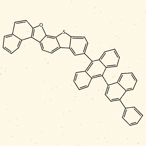 c1ccc(-c2ccc(-c3c4ccccc4c(-c4ccc5sc6c(ccc7c6oc6ccc8ccccc8c67)c5c4)c4ccccc34)c3ccccc23)cc1